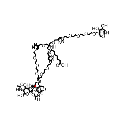 CC(=O)N[C@@H]1[C@@H](O)[C@@H](O)[C@@](C)(COCCOCCOCCOCCn2cc(COCC(COCc3cn(CCOCCOCCOCCOC[C@@]45CO[C@@H](O4)[C@H](NC(C)=O)[C@@H](O)[C@H]5O)nn3)(COCc3cn(CCOCCOCCOCCOC[C@]45CO[C@H](C[C@@H](O)[C@H]4O)O5)nn3)NC(=O)CCCCCC(=O)O)nn2)O[C@@H]1O